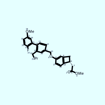 COC(=O)C[C@H]1Cc2cc(OCc3ccc(-c4cc(OC)ccc4F)c(CC(C)C)c3)ccc21